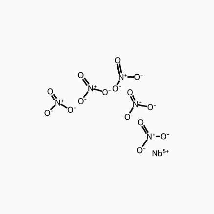 O=[N+]([O-])[O-].O=[N+]([O-])[O-].O=[N+]([O-])[O-].O=[N+]([O-])[O-].O=[N+]([O-])[O-].[Nb+5]